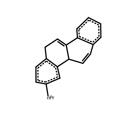 C[CH]Cc1ccc2c(c1)C1C=Cc3ccccc3C1=CC2